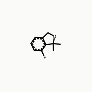 CC1(C)OCc2cccc(F)c21